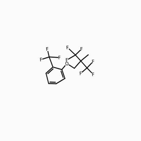 CC(COc1ccccc1C(F)(F)F)(C(F)(F)F)C(F)(F)F